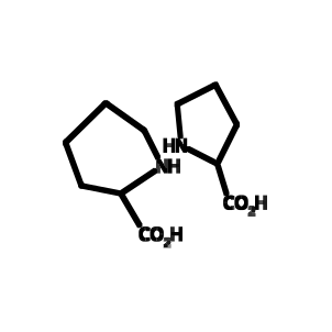 O=C(O)C1CCCCN1.O=C(O)C1CCCN1